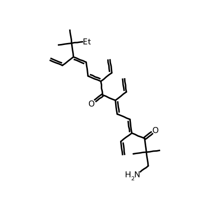 C=C/C(=C\C=C(/C=C)C(=O)C(C)(C)CN)C(=O)/C(C=C)=C/C=C(\C=C)C(C)(C)CC